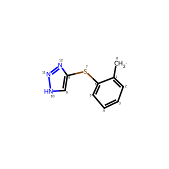 [CH2]c1ccccc1Sc1c[nH]nn1